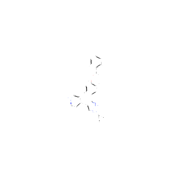 c1ccc(COc2ccc(-c3nn(C4CC4)cc3-c3ccncc3)cc2)cc1